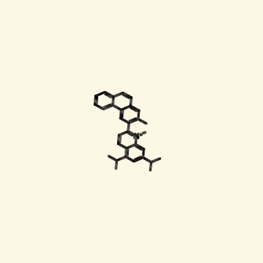 Cc1cc2ccc3ccccc3c2cc1-c1ccc2c(C(C)C)cc(C(C)C)cc2[n+]1C